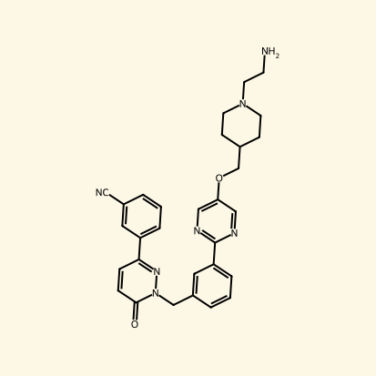 N#Cc1cccc(-c2ccc(=O)n(Cc3cccc(-c4ncc(OCC5CCN(CCN)CC5)cn4)c3)n2)c1